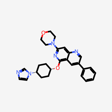 c1ccc(-c2cnc3cc(N4CCOCC4)nc(O[C@H]4CC[C@@H](n5ccnc5)CC4)c3c2)cc1